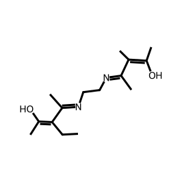 CCC(=C(\C)O)/C(C)=N/CC/N=C(C)/C(C)=C(/C)O